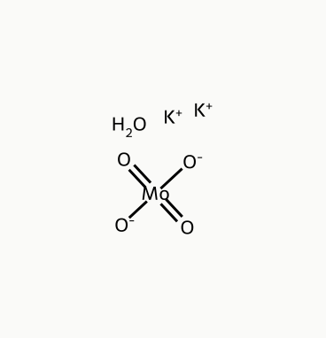 O.[K+].[K+].[O]=[Mo](=[O])([O-])[O-]